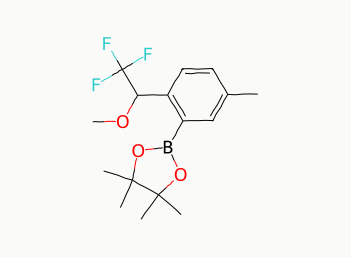 COC(c1ccc(C)cc1B1OC(C)(C)C(C)(C)O1)C(F)(F)F